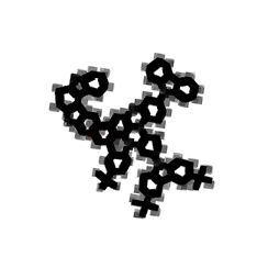 CC(C)(C)c1ccc(N2c3cc(-n4c5ccc(C(C)(C)C)cc5c5cc(C(C)(C)C)ccc54)ccc3B3c4ccc(-n5c6ccccc6c6ccccc65)cc4Sc4cc(-c5ccc6sc7ccc8sc9ccccc9c8c7c6c5)cc2c43)c(-c2ccccc2)c1